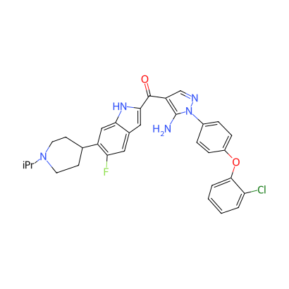 CC(C)N1CCC(c2cc3[nH]c(C(=O)c4cnn(-c5ccc(Oc6ccccc6Cl)cc5)c4N)cc3cc2F)CC1